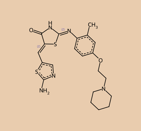 Cc1cc(OCCN2CCCCC2)ccc1/N=C1/NC(=O)/C(=C/c2cnc(N)s2)S1